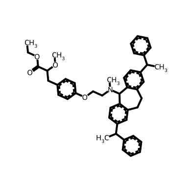 CCOC(=O)C(Cc1ccc(OCCN(C)C2c3ccc(C(C)c4ccccc4)cc3CCc3cc(C(C)c4ccccc4)ccc32)cc1)OC